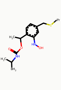 BC(C)NC(=O)OC(C)c1ccc(CSC(C)C)cc1NO